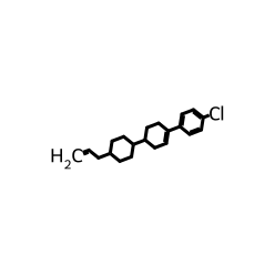 C=CCC1CCC(C2CC=C(c3ccc(Cl)cc3)CC2)CC1